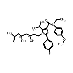 CCN(C(=O)c1nc(-c2ccc(F)cc2)n(CC[C@@H](O)C[C@@H](O)CC(=O)O)c1C(C)C)c1ccc(OC)cc1